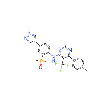 [CH2]c1ccc(-c2n[c]nc(Nc3ccc(-c4cnn(C)c4)cc3P(C)(C)=O)c2C(F)(F)F)cc1